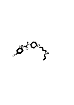 C=CCN(C)CCCCO[C@H]1CC[C@H](N(C)C(=O)Nc2ccc(Br)cc2)CC1